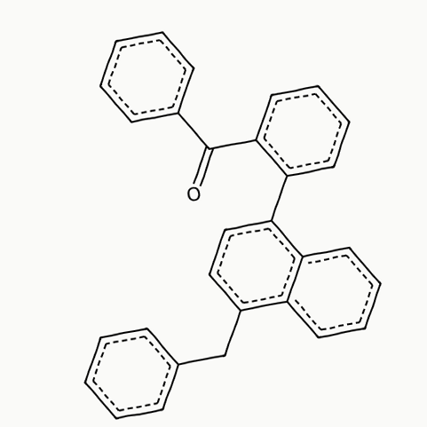 O=C(c1ccccc1)c1ccccc1-c1ccc(Cc2ccccc2)c2ccccc12